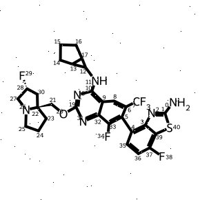 Nc1nc2c(-c3c(C(F)(F)F)cc4c(NC5C6CCCC65)nc(OC[C@@]56CCCN5C[C@H](F)C6)nc4c3F)ccc(F)c2s1